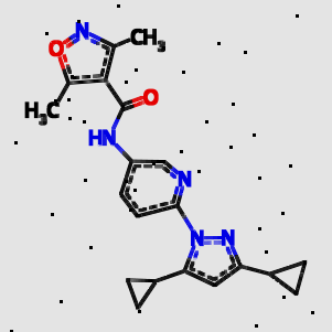 Cc1noc(C)c1C(=O)Nc1ccc(-n2nc(C3CC3)cc2C2CC2)nc1